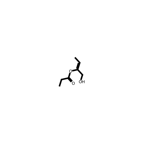 CC=C(CO)OC(=O)CC